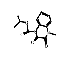 CC(C)OC(=O)n1c(=O)c(=O)n(C)c2ccccc21